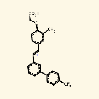 Cc1cc(/C=C/c2cccc(-c3ccc(C(F)(F)F)cc3)c2)ccc1OCC(=O)O